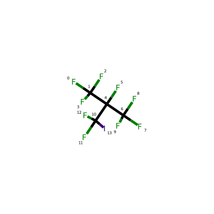 FC(F)(F)C(F)(C(F)(F)F)C(F)(F)I